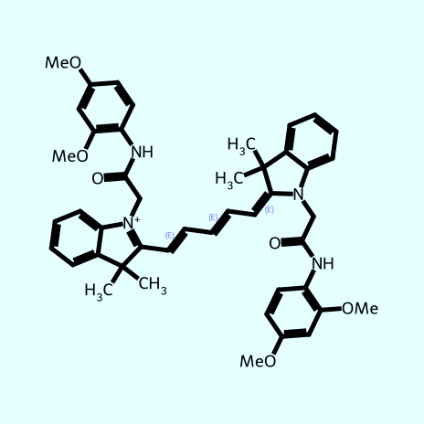 COc1ccc(NC(=O)CN2/C(=C/C=C/C=C/C3=[N+](CC(=O)Nc4ccc(OC)cc4OC)c4ccccc4C3(C)C)C(C)(C)c3ccccc32)c(OC)c1